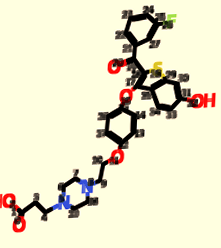 O=C(O)CCN1CCN(CCOc2ccc(Oc3c(C(=O)c4cccc(F)c4)sc4cc(O)ccc34)cc2)CC1